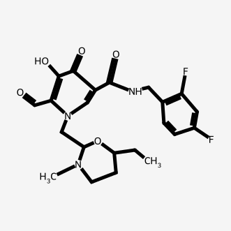 CCC1CCN(C)C(Cn2cc(C(=O)NCc3ccc(F)cc3F)c(=O)c(O)c2C=O)O1